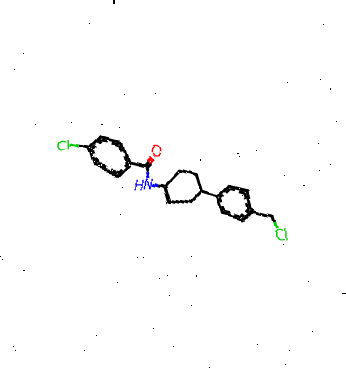 O=C(NC1CCC(c2ccc(CCl)cc2)CC1)c1ccc(Cl)cc1